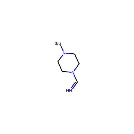 CC(C)(C)N1CCN(C=N)CC1